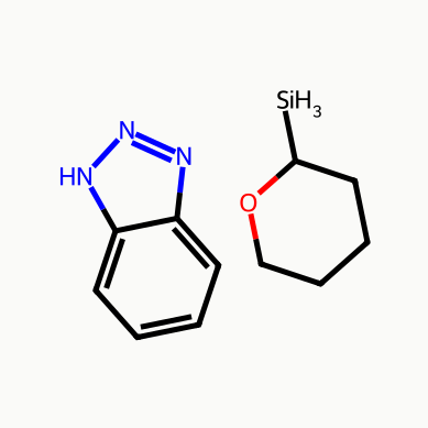 [SiH3]C1CCCCO1.c1ccc2[nH]nnc2c1